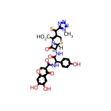 Cn1nnnc1C(=S)C1=C(C(=O)O)N2C(=O)[C@@H](NC(=O)C(NC(=O)c3coc4cc(O)c(O)cc4c3=O)c3ccc(O)cc3)[C@@H]2SC1